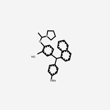 COc1ccc(C(c2ccc(OC(C)N3CCCC3)c(C)c2)c2cccc3ccccc23)cc1.Cl